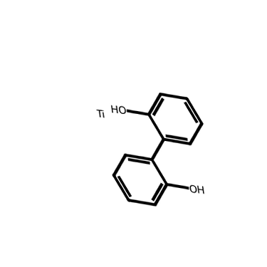 Oc1ccccc1-c1ccccc1O.[Ti]